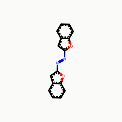 c1ccc2oc(N=Nc3cc4ccccc4o3)cc2c1